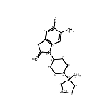 Cc1cc2c(cc1F)CC(=O)N2C1CCN(C2(C)CCNC2)CC1